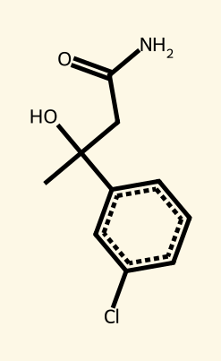 CC(O)(CC(N)=O)c1cccc(Cl)c1